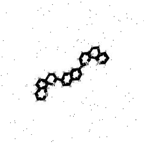 c1cnc2c(c1)CCc1ccc(-c3ccc4ccc(C5=Nc6c(ccc7cccnc67)CC5)cc4c3)nc1-2